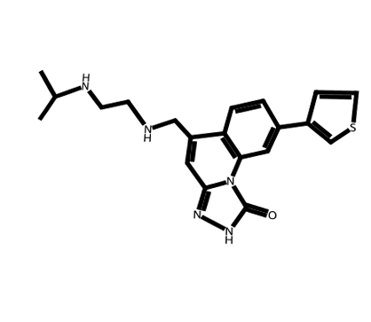 CC(C)NCCNCc1cc2n[nH]c(=O)n2c2cc(-c3ccsc3)ccc12